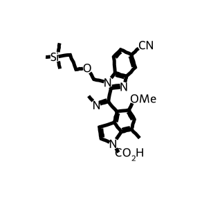 CN=C(c1c(OC)cc(C)c2c1ccn2C(=O)O)c1nc2cc(C#N)ccc2n1COCC[Si](C)(C)C